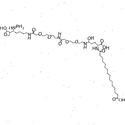 O=C(O)CCCCCCCCCCCCCCC(=O)N[C@@H](CCC(O)NCCOCCOCC(=O)NCCOCCOCC(=O)NCCCC[C@H](NP)C1COC1O)C(=O)O